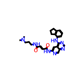 CN(C)CCCNC(=O)C=CC(=O)Nc1cc2c(Nc3cccc4c3CCC4)ncnc2cn1